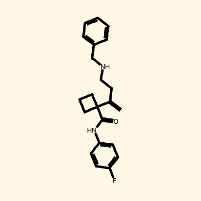 C=C(CCNCc1ccccc1)C1(C(=O)Nc2ccc(F)cc2)CCC1